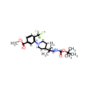 COC(=O)c1ccc(C(F)(F)F)c(N2CCC(C(C)(C)CNC(=O)OC(C)(C)C)CC2)c1